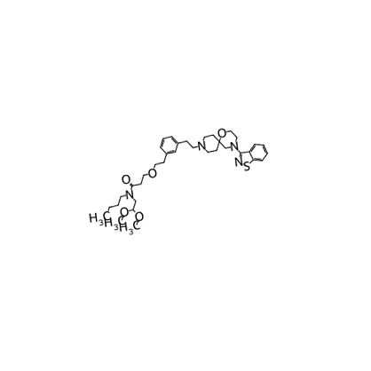 CCCCN(CC(OC)OC)C(=O)CCOCCc1cccc(CCN2CCC3(CC2)CN(c2nsc4ccccc24)CCO3)c1